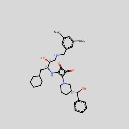 COc1cc(CNC[C@H](O)[C@H](CC2CCCCC2)Nc2c(N3CCC[C@@H](C(O)c4ccccc4)C3)c(=O)c2=O)cc(OC)c1